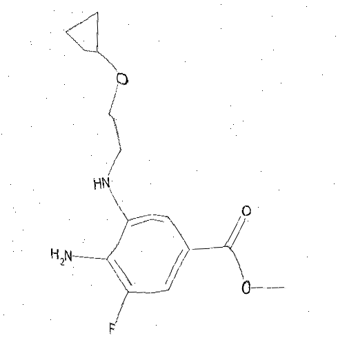 COC(=O)c1cc(F)c(N)c(NCCOC2CC2)c1